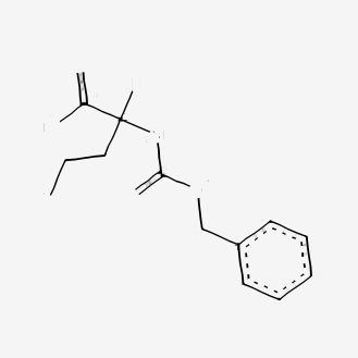 [2H]C(CCC)(NC(=O)OCc1ccccc1)C(=O)O